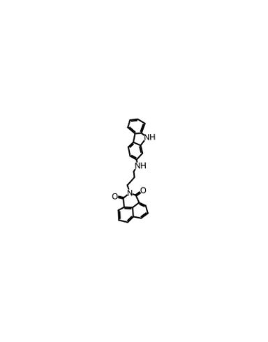 O=C1c2cccc3cccc(c23)C(=O)N1CCCNc1ccc2c(c1)[nH]c1ccccc12